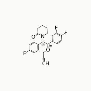 C#CCO[C@H](c1ccc(F)c(F)c1)[C@H](c1ccc(F)cc1)N1CCCCC1=O